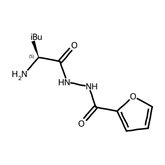 CCC(C)[C@H](N)C(=O)NNC(=O)c1ccco1